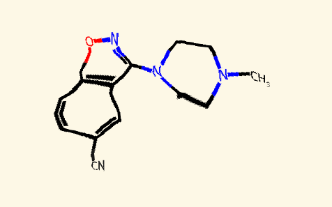 CN1CCN(c2noc3ccc(C#N)cc23)CC1